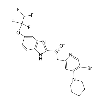 [O-][S+](Cc1cc(N2CCCCC2)c(Br)cn1)c1nc2cc(OC(F)(F)C(F)F)ccc2[nH]1